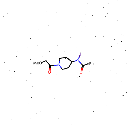 CCCCC(=O)N(I)C1CCN(C(=O)COC)CC1